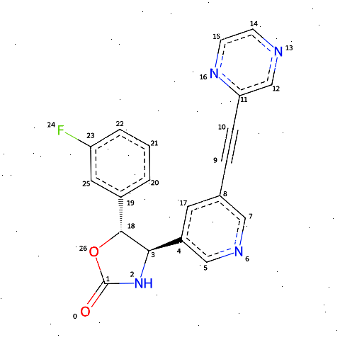 O=C1N[C@H](c2cncc(C#Cc3cnccn3)c2)[C@@H](c2cccc(F)c2)O1